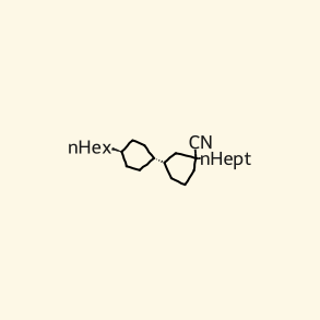 CCCCCCCC1(C#N)CCCC([C@H]2CC[C@H](CCCCCC)CC2)C1